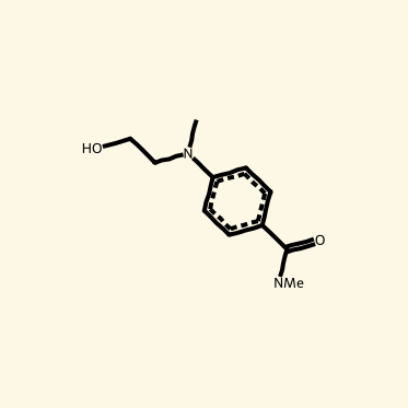 CNC(=O)c1ccc(N(C)CCO)cc1